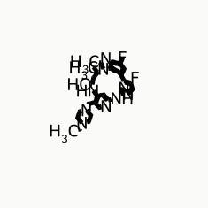 CCN1CCN(Cc2cnc3cc2NC(O)CC(C)n2c(C)nc4c(F)cc(cc42)-c2nc(ncc2F)N3)CC1